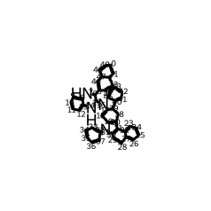 C1=CC2C=CC(C3Nc4ccccc4NC3N3C4=Cc5c(c6c7ccccc7ccc6n5-c5ccccc5)CC4c4ccccc43)=CC2C=C1